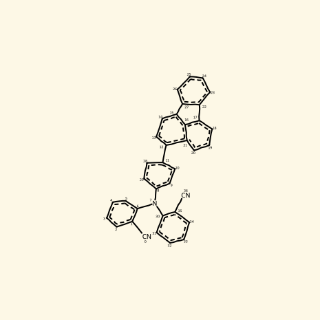 N#Cc1ccccc1N(c1ccc(-c2ccc3c4c(cccc24)-c2ccccc2-3)cc1)c1ccccc1C#N